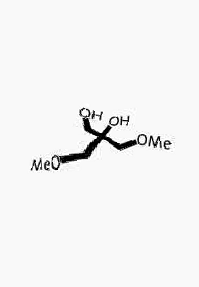 COCC(O)(CO)COC